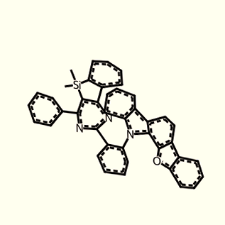 C[Si]1(C)c2ccccc2-c2nc(-c3ccccc3-n3c4ccccc4c4ccc5c6ccccc6oc5c43)nc(-c3ccccc3)c21